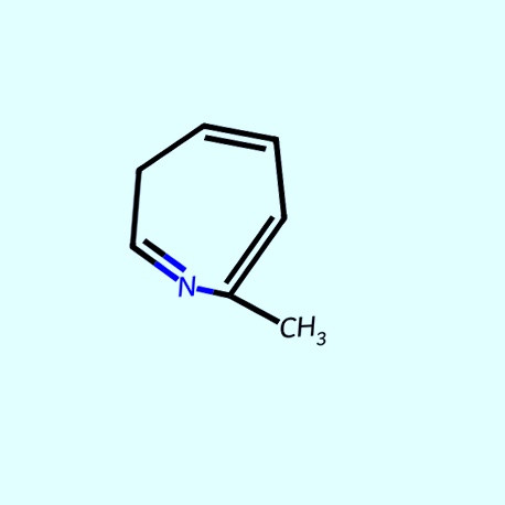 CC1=CC=CCC=N1